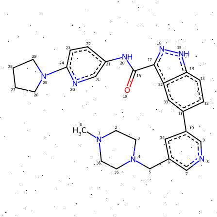 CN1CCN(Cc2cncc(-c3ccc4[nH]nc(C(=O)Nc5ccc(N6CCCC6)nc5)c4c3)c2)CC1